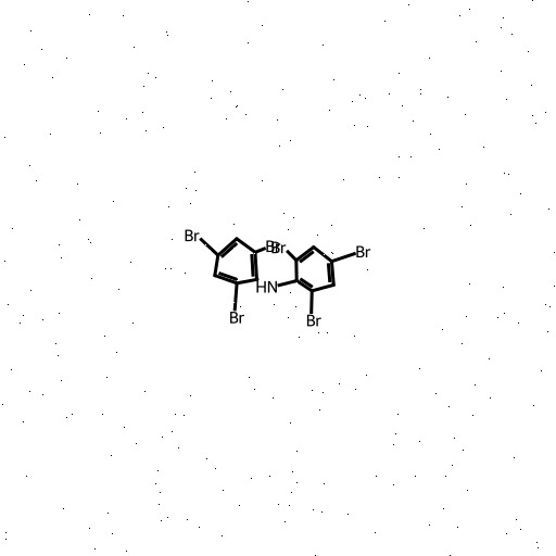 Brc1cc(Br)c(Nc2c(Br)cc(Br)cc2Br)c(Br)c1